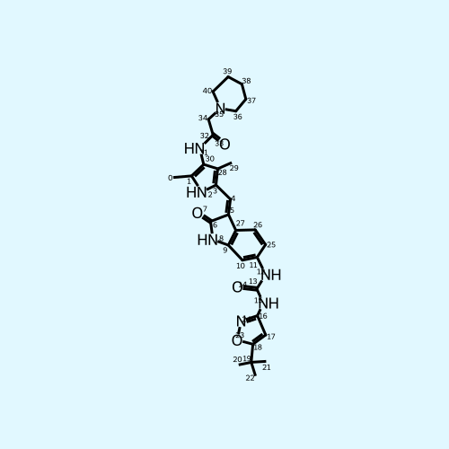 Cc1[nH]c(/C=C2\C(=O)Nc3cc(NC(=O)Nc4cc(C(C)(C)C)on4)ccc32)c(C)c1NC(=O)CN1CCCCC1